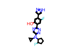 Oc1cc(-c2cn[nH]c2)c(F)cc1-c1ncc(N(C2CC2)C2CCCC2F)nn1